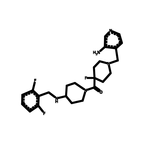 Nc1cnccc1CN1CCC(F)(C(=O)N2CCC(NCc3c(F)cccc3F)CC2)CC1